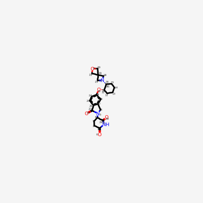 O=C1CCC(N2Cc3cc(O[C@H]4CCCC[C@H]4N4CC5(COC5)C4)ccc3C2=O)C(=O)N1